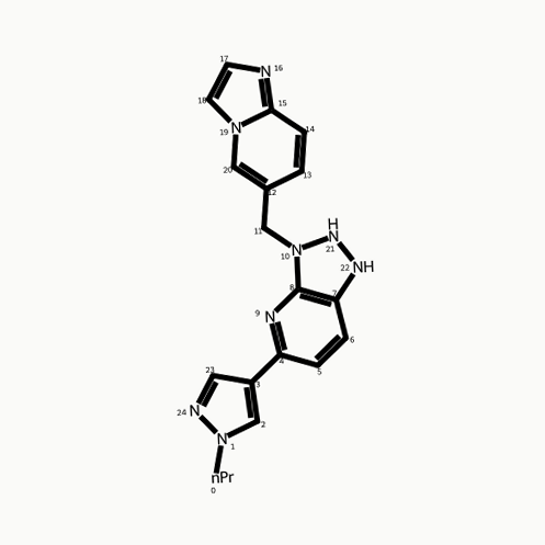 CCCn1cc(-c2ccc3c(n2)N(Cc2ccc4nccn4c2)NN3)cn1